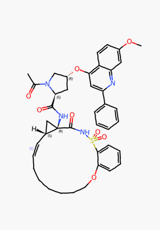 COc1ccc2c(O[C@@H]3C[C@@H](C(=O)N[C@]45C[C@H]4/C=C\CCCCCCOc4ccccc4S(=O)(=O)NC5=O)N(C(C)=O)C3)cc(-c3ccccc3)nc2c1